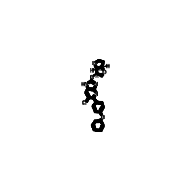 Clc1cc2[nH]c(O[C@@H]3CO[C@@H]4CCO[C@@H]43)nc2nc1-c1ccc(Oc2ccccc2)cc1